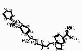 CC(C)(CCn1ccc2cc(C(N)=NO)ccc21)NC[C@@H](O)c1cccc(NS(=O)(=O)c2ccccc2)c1